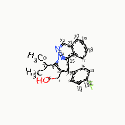 CC(C)c1c(CO)c(-c2ccc(F)cc2)c2c3ccccc3cnn12